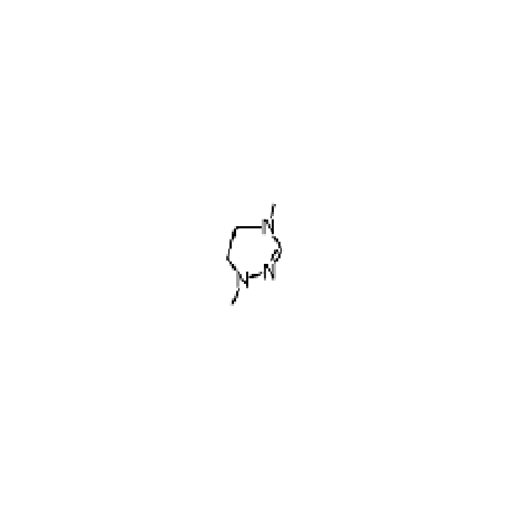 CN1C=NN(C)CC1